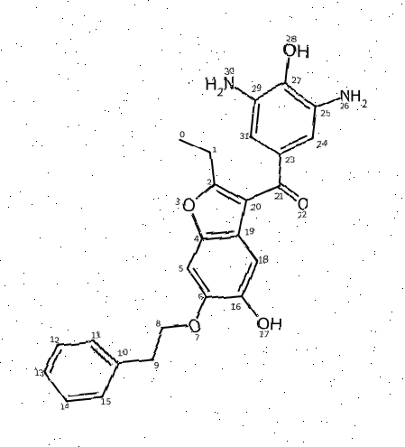 CCc1oc2cc(OCCc3ccccc3)c(O)cc2c1C(=O)c1cc(N)c(O)c(N)c1